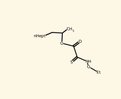 CCCCCCCCC(C)OC(=O)C(=S)NOCC